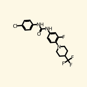 O=C(Nc1ccc(Cl)cc1)Nc1ccc(N2CCC(C(F)(F)F)CC2)c(F)c1